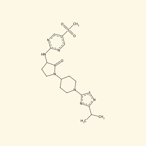 CC(C)c1nsc(N2CCC(N3CCC(Nc4ncc(S(C)(=O)=O)cn4)C3=O)CC2)n1